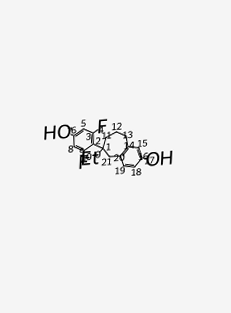 CCC1(c2c(F)cc(O)cc2F)CCCc2cc(O)ccc2C1